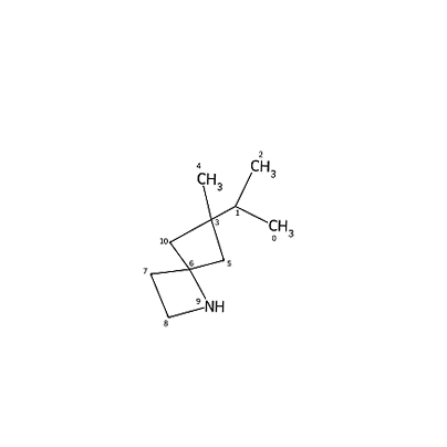 CC(C)C1(C)CC2(CCN2)C1